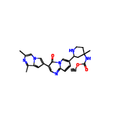 Cc1cn2cc(-c3cnc4ccc(C5CC(C)(NC(=O)OC(C)(C)C)CCN5)cn4c3=O)cc2c(C)n1